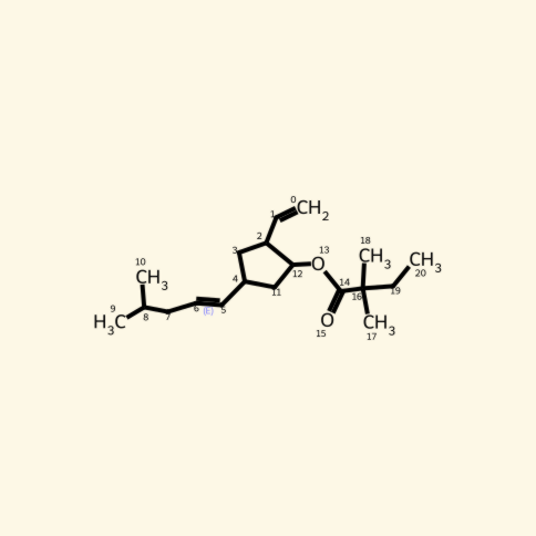 C=CC1CC(/C=C/CC(C)C)CC1OC(=O)C(C)(C)CC